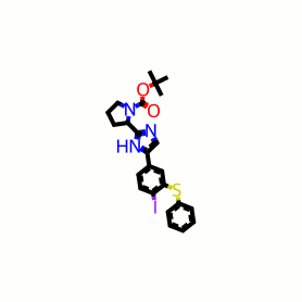 CC(C)(C)OC(=O)N1CCCC1c1ncc(-c2ccc(I)c(Sc3ccccc3)c2)[nH]1